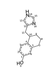 Oc1ccc2c(c1)CCCC2Cc1c[nH]cn1